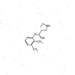 CCC[C@@H](Oc1cccc(C)c1C)[C@@H]1CCNC1